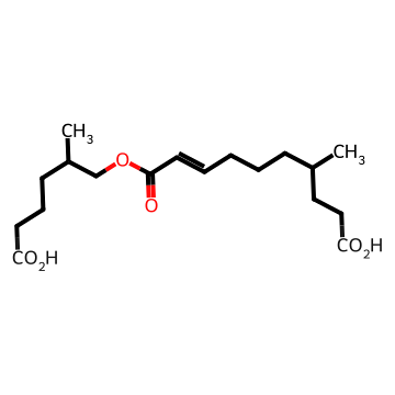 CC(CCCC=CC(=O)OCC(C)CCCC(=O)O)CCC(=O)O